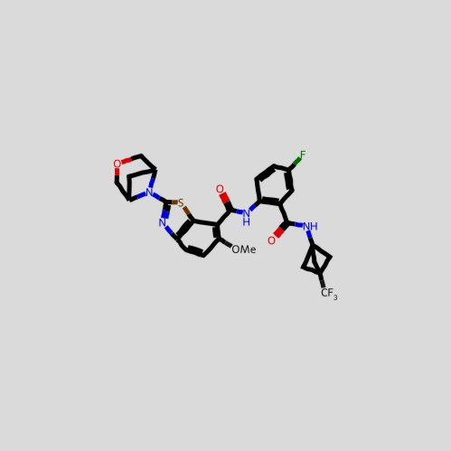 COc1ccc2nc(N3C4COCC3C4)sc2c1C(=O)Nc1ccc(F)cc1C(=O)NC12CC(C(F)(F)F)(C1)C2